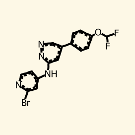 FC(F)Oc1ccc(-c2cnnc(Nc3ccnc(Br)c3)c2)cc1